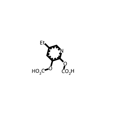 CCc1cnc(OC(=O)O)c(OC(=O)O)c1